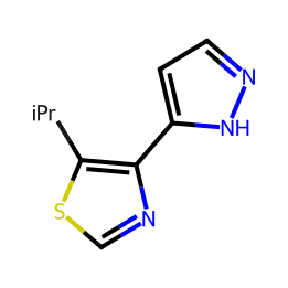 CC(C)c1scnc1-c1ccn[nH]1